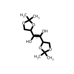 CC1(C)OCC(/C(O)=C(\O)C2COC(C)(C)O2)O1